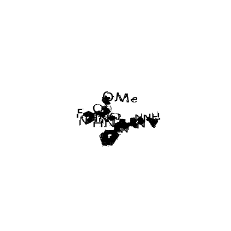 COCC[C@@H]1C[C@@H](NC(=O)Nc2c(C)c(-c3cnc(NC4CC4)nc3)nn2-c2ccccc2)[C@H](c2ccnc(F)c2)O1